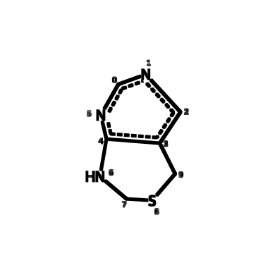 c1ncc2c(n1)NCSC2